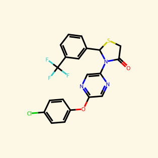 O=C1CSC(c2cccc(C(F)(F)F)c2)N1c1cnc(Oc2ccc(Cl)cc2)cn1